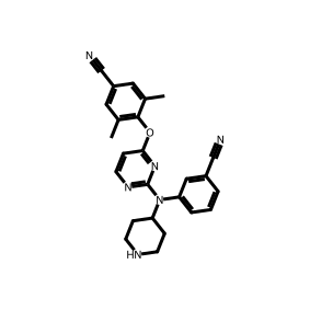 Cc1cc(C#N)cc(C)c1Oc1ccnc(N(c2cccc(C#N)c2)C2CCNCC2)n1